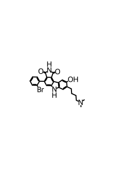 CN(C)CCCCc1cc2[nH]c3cc(-c4ccccc4Br)c4c(c3c2cc1O)C(=O)NC4=O